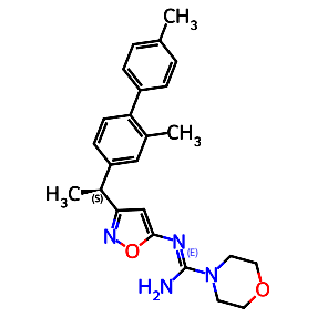 Cc1ccc(-c2ccc([C@H](C)c3cc(/N=C(\N)N4CCOCC4)on3)cc2C)cc1